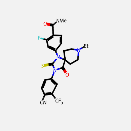 CCN1CCC2(CC1)C(=O)N(c1ccc(C#N)c(C(F)(F)F)c1)C(=S)N2c1ccc(C(=O)NC)c(F)c1